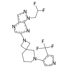 FC(F)Cn1ncc2ncc(N3CC4(CCCN(c5ccncc5C(F)(F)F)C4)C3)nc21